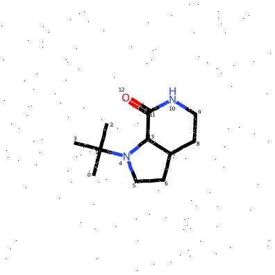 CC(C)(C)N1CCC2CCNC(=O)C21